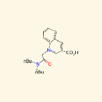 CCCCN(CCCC)C(=O)C[n+]1cc(C(=O)O)cc2ccccc21